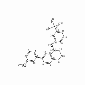 COc1cccc(-c2ccc3c(c2)N(Sc2cccc(C(F)(F)F)c2)CCC3)c1